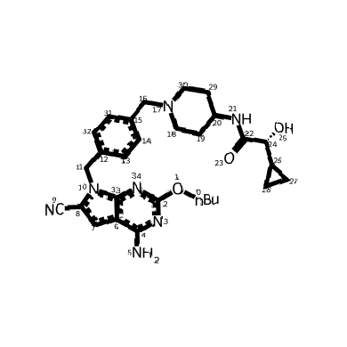 CCCCOc1nc(N)c2cc(C#N)n(Cc3ccc(CN4CCC(NC(=O)[C@H](O)C5CC5)CC4)cc3)c2n1